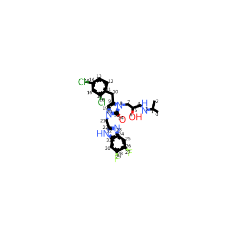 CC(C)NCC(O)Cn1c(Cc2ccc(Cl)cc2Cl)cn(Cc2nc3cc(F)c(F)cc3[nH]2)c1=O